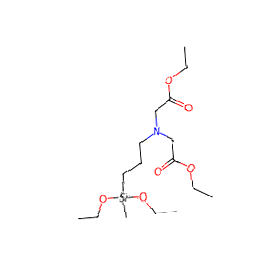 CCOC(=O)CN(CCC[Si](C)(OCC)OCC)CC(=O)OCC